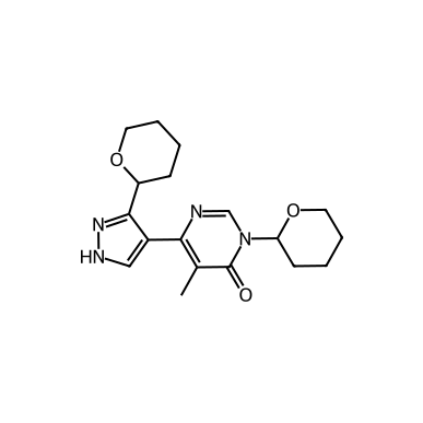 Cc1c(-c2c[nH]nc2C2CCCCO2)ncn(C2CCCCO2)c1=O